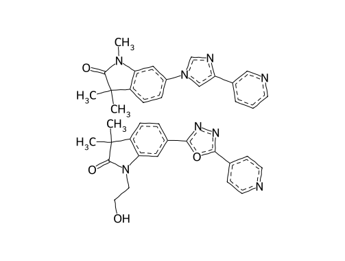 CC1(C)C(=O)N(CCO)c2cc(-c3nnc(-c4ccncc4)o3)ccc21.CN1C(=O)C(C)(C)c2ccc(-n3cnc(-c4cccnc4)c3)cc21